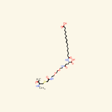 CNC(CSCC(=O)NCCOCCOCCNC(=O)CCC(NC(=O)CCCCCCCCCCCCCCC(=O)O)C(=O)O)C(C)=O